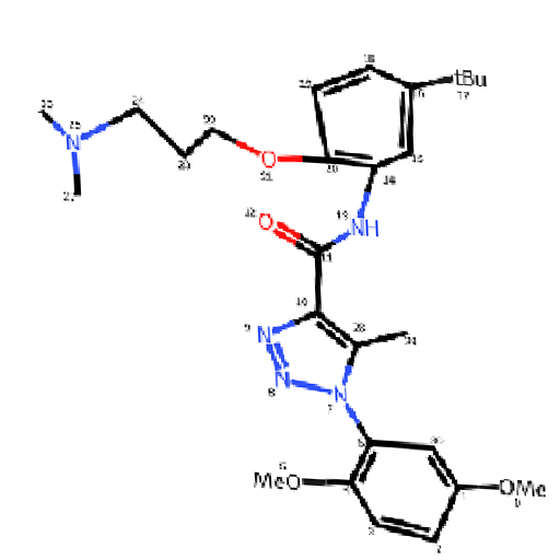 COc1ccc(OC)c(-n2nnc(C(=O)Nc3cc(C(C)(C)C)ccc3OCCCN(C)C)c2C)c1